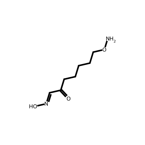 NOCCCCCC(=O)C=NO